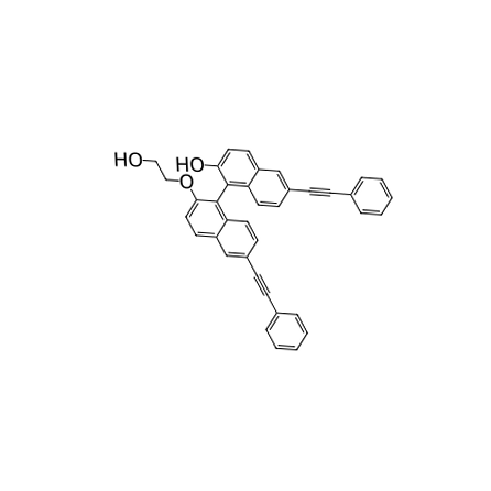 OCCOc1ccc2cc(C#Cc3ccccc3)ccc2c1-c1c(O)ccc2cc(C#Cc3ccccc3)ccc12